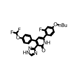 CCCCOc1ccc(-c2cc(-c3ccc(OC(F)F)cc3)c(-c3nc[nH]n3)c(=O)[nH]2)c(F)c1